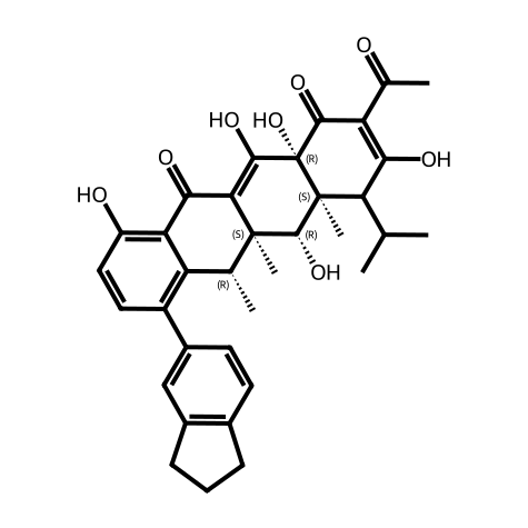 CC(=O)C1=C(O)C(C(C)C)[C@@]2(C)[C@H](O)[C@]3(C)C(=C(O)[C@@]2(O)C1=O)C(=O)c1c(O)ccc(-c2ccc4c(c2)CCC4)c1[C@H]3C